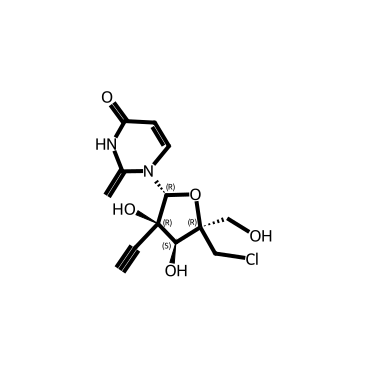 C#C[C@@]1(O)[C@H](O)[C@](CO)(CCl)O[C@H]1N1C=CC(=O)NC1=C